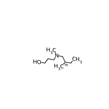 CC[C@@H](C)CN(C)CCCO